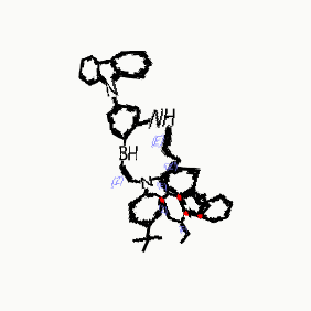 C\C=C(/C=C\C(=C1\C=C/C=C/Nc2cc(-n3c4ccccc4c4ccccc43)ccc2B/C=C\N1c1ccc(C(C)(C)C)cc1)c1ccccc1)n1c2ccccc2c2ccccc21